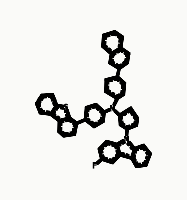 Fc1ccc2c(c1)c1ccccc1n2-c1cccc(N(c2ccc(-c3ccc4ccccc4c3)cc2)c2ccc(-c3cccc4c3sc3ccccc34)cc2)c1